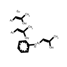 CC(=O)/C=C(/C)O.CC(=O)/C=C(/C)O.CC(=O)/C=C(/C)O.Oc1ccccc1.[Eu]